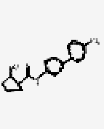 O=C(O)C1CCCC1C(=O)Nc1ccc(-c2ccc([N+](=O)[O-])cc2)cc1